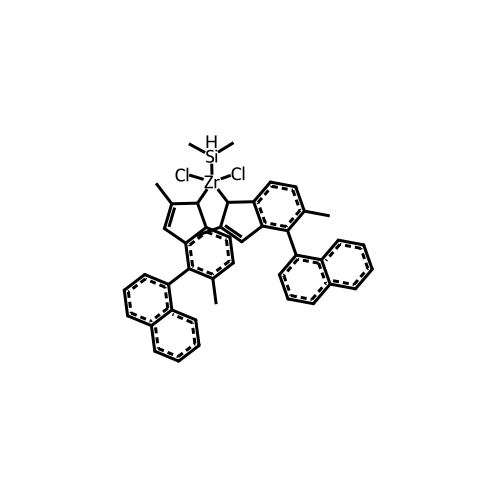 CC1=Cc2c(ccc(C)c2-c2cccc3ccccc23)[CH]1[Zr]([Cl])([Cl])([CH]1C(C)=Cc2c1ccc(C)c2-c1cccc2ccccc12)[SiH](C)C